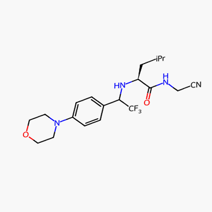 CC(C)C[C@H](NC(c1ccc(N2CCOCC2)cc1)C(F)(F)F)C(=O)NCC#N